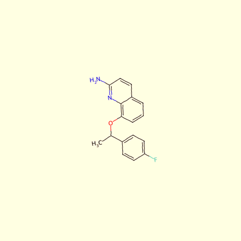 CC(Oc1cccc2ccc(N)nc12)c1ccc(F)cc1